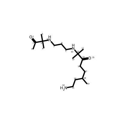 CC(=O)C(C)(C)NCCCNC(C)(C)C(=O)CCC(C)CCN